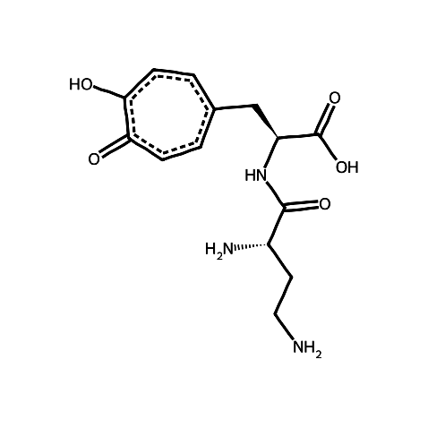 NCC[C@H](N)C(=O)N[C@@H](Cc1ccc(O)c(=O)cc1)C(=O)O